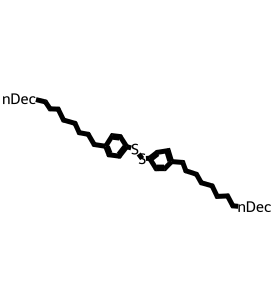 CCCCCCCCCCCCCCCCCCc1ccc(SSc2ccc(CCCCCCCCCCCCCCCCCC)cc2)cc1